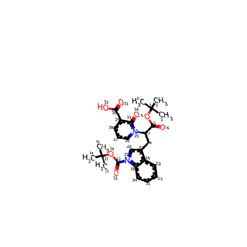 CC(C)(C)OC(=O)C(Cc1cn(C(=O)OC(C)(C)C)c2ccccc12)n1cccc(C(=O)O)c1=O